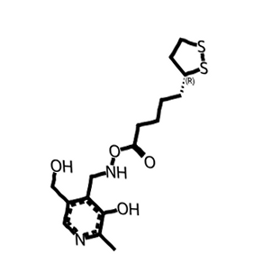 Cc1ncc(CO)c(CNOC(=O)CCCC[C@@H]2CCSS2)c1O